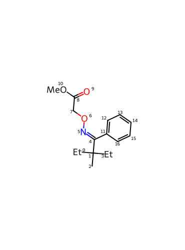 CCC(C)(CC)/C(=N/OCC(=O)OC)c1ccccc1